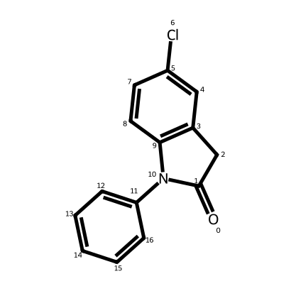 O=C1Cc2cc(Cl)ccc2N1c1ccccc1